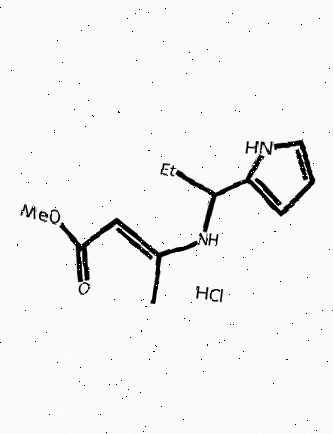 CCC(NC(C)=CC(=O)OC)c1ccc[nH]1.Cl